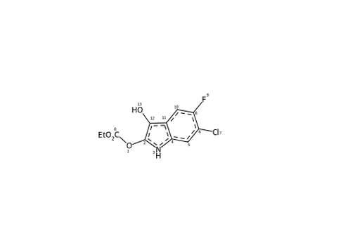 CCOC(=O)Oc1[nH]c2cc(Cl)c(F)cc2c1O